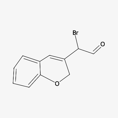 O=CC(Br)C1=Cc2ccccc2OC1